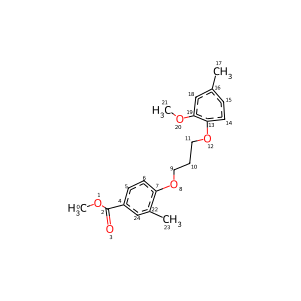 COC(=O)c1ccc(OCCCOc2ccc(C)cc2OC)c(C)c1